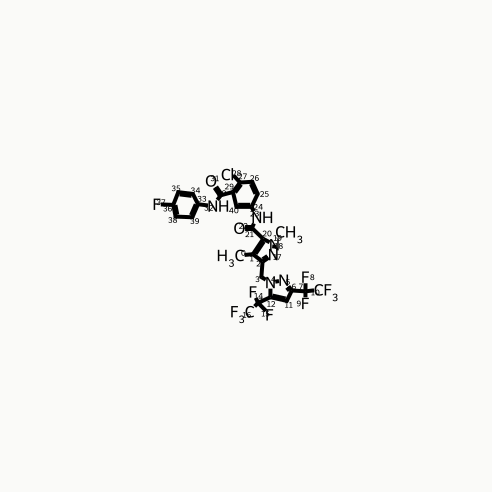 Cc1c(Cn2nc(C(F)(F)C(F)(F)F)cc2C(F)(F)C(F)(F)F)nn(C)c1C(=O)Nc1ccc(Cl)c(C(=O)Nc2ccc(F)cc2)c1